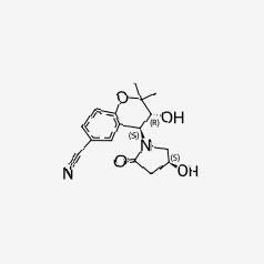 CC1(C)Oc2ccc(C#N)cc2[C@H](N2C[C@@H](O)CC2=O)[C@H]1O